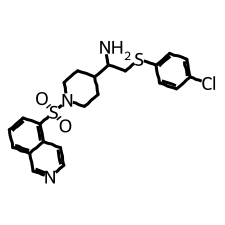 NC(CSc1ccc(Cl)cc1)C1CCN(S(=O)(=O)c2cccc3cnccc23)CC1